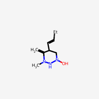 C=C1C(/C=C/CC)CN(O)NN1C